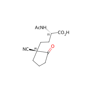 CC(=O)N[C@@H](CC[C@@]1(C#N)CCCC1=O)C(=O)O